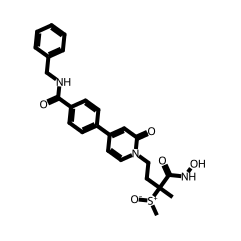 C[S+]([O-])C(C)(CCn1ccc(-c2ccc(C(=O)NCc3ccccc3)cc2)cc1=O)C(=O)NO